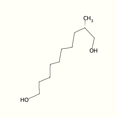 C[C@H](CO)CCCCCCCCO